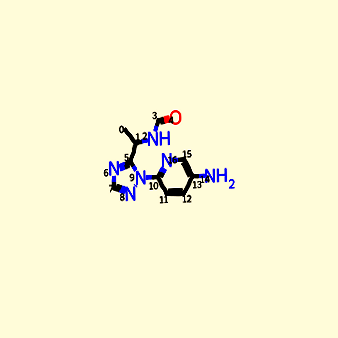 CC(NC=O)c1ncnn1-c1ccc(N)cn1